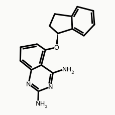 Nc1nc(N)c2c(O[C@H]3CCc4ccccc43)cccc2n1